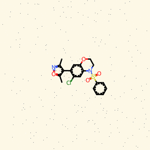 Cc1noc(C)c1-c1cc2c(cc1Cl)N(S(=O)(=O)c1ccccc1)CCO2